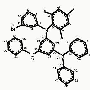 Cc1cc(C)c(N(c2cccc(Br)c2)c2cc(Oc3ccccc3)cc(N(c3ccccc3)c3ccccc3)c2)c(C)c1